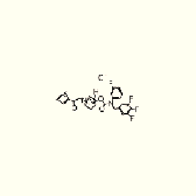 O=C(C[N+]12CCC(CC1)[C@@H](OC(=O)N(Cc1cc(F)c(F)c(F)c1)c1cccc(F)c1)C2)c1cccs1.[Cl-]